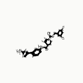 Nc1ncc(-c2cccc(NC(=O)C3CCN(C(=O)OCc4cc(Cl)cc(Cl)c4)CC3)c2)s1